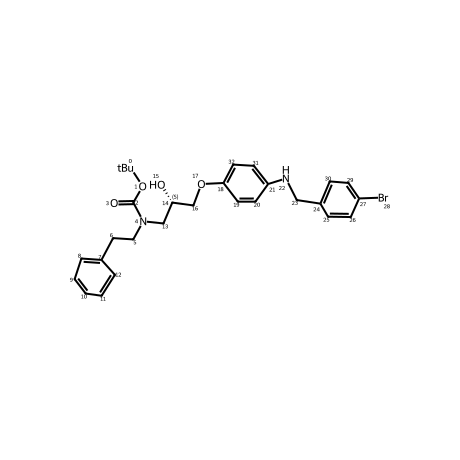 CC(C)(C)OC(=O)N(CCc1ccccc1)C[C@H](O)COc1ccc(NCc2ccc(Br)cc2)cc1